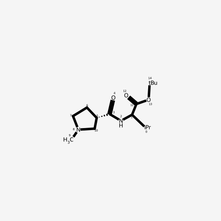 CC(C)C(NC(=O)[C@H]1CCN(C)C1)C(=O)OC(C)(C)C